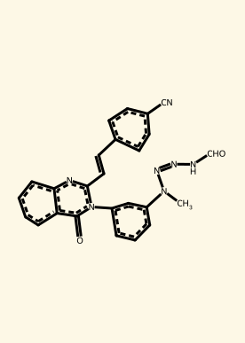 CN(/N=N\NC=O)c1cccc(-n2c(/C=C/c3ccc(C#N)cc3)nc3ccccc3c2=O)c1